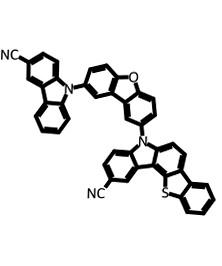 N#Cc1ccc2c(c1)c1ccccc1n2-c1ccc2oc3ccc(-n4c5ccc(C#N)cc5c5c6sc7ccccc7c6ccc54)cc3c2c1